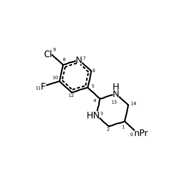 CCCC1CNC(c2cnc(Cl)c(F)c2)NC1